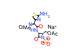 CO/N=C(\C(=O)N[C@H]1C(=O)N(S(=O)(=O)[O-])[C@@H]1COC(C)=O)c1csc(N)n1.[Na+]